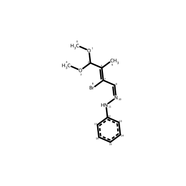 COC(OC)/C(C)=C(Br)/C=N\Nc1ccccc1